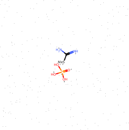 CSC(=N)N.O=P(O)(O)O